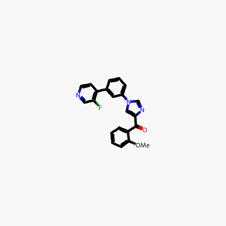 COc1ccccc1C(=O)c1cn(-c2cccc(-c3ccncc3F)c2)cn1